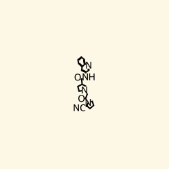 N#CC1CCCN1C(=O)CN1CCC(C(=O)Nc2cnc3ccccc3c2)C1